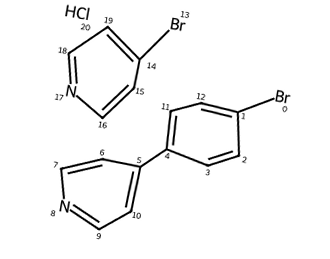 Brc1ccc(-c2ccncc2)cc1.Brc1ccncc1.Cl